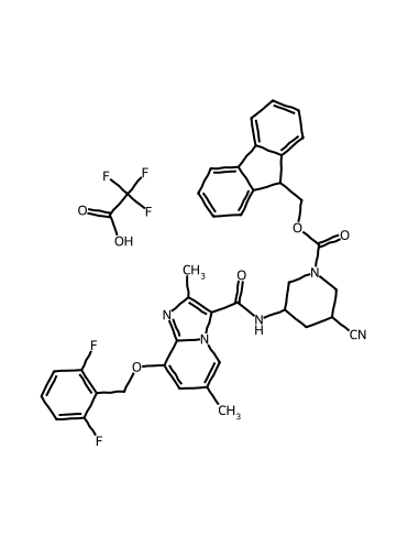 Cc1cc(OCc2c(F)cccc2F)c2nc(C)c(C(=O)NC3CC(C#N)CN(C(=O)OCC4c5ccccc5-c5ccccc54)C3)n2c1.O=C(O)C(F)(F)F